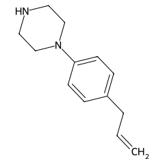 C=CCc1ccc(N2CCNCC2)cc1